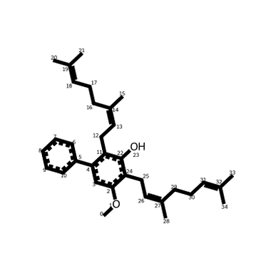 COc1cc(-c2ccccc2)c(CC=C(C)CCC=C(C)C)c(O)c1CC=C(C)CCC=C(C)C